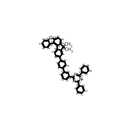 CC1(C)c2cc(-c3ccc(-c4cccc(-c5nc(-c6ccccc6)nc(-c6ccccc6)n5)c4)cc3)ccc2-c2c1ccc1oc3ccccc3c21